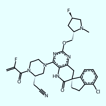 C=C(F)C(=O)N1CCN(c2nc(OC[C@@H]3C[C@@H](F)CN3C)nc3c2NC(=O)[C@@]2(CCc4c(Cl)cccc42)C3)C[C@@H]1CC#N